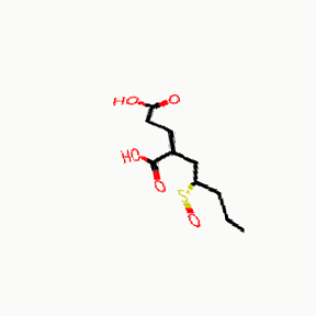 CCCC(CC(CCC(=O)O)C(=O)O)[S+]=O